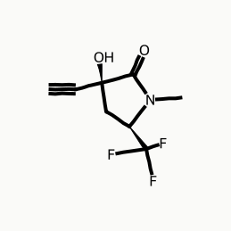 C#C[C@@]1(O)C[C@H](C(F)(F)F)N(C)C1=O